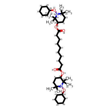 CC1(C)CCC(OC(=O)CCCCCCCCC(=O)OC2CCC(C)(C)N(OC3CCCCC3)C2(C)C)C(C)(C)N1OC1CCCCC1